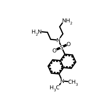 CN(C)c1cccc2c(S(=O)(=O)N(CCN)CCN)cccc12